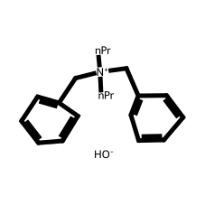 CCC[N+](CCC)(Cc1ccccc1)Cc1ccccc1.[OH-]